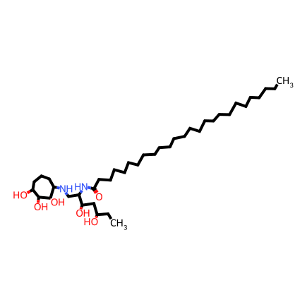 CCCCCCCCCCCCCCCCCCCCCCCCCC(=O)NC(CNC1CCCC(O)C(O)C1O)C(O)CC(O)CC